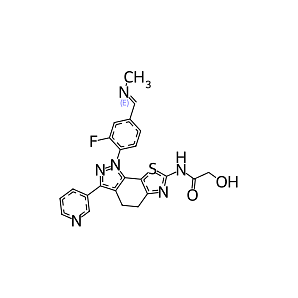 C/N=C/c1ccc(-n2nc(-c3cccnc3)c3c2-c2sc(NC(=O)CO)nc2CC3)c(F)c1